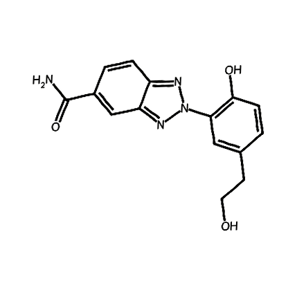 NC(=O)c1ccc2nn(-c3cc(CCO)ccc3O)nc2c1